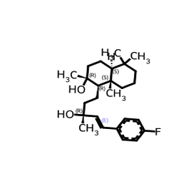 CC1(C)CCC[C@]2(C)[C@@H](CC[C@@](C)(O)/C=C/c3ccc(F)cc3)[C@](C)(O)CC[C@@H]12